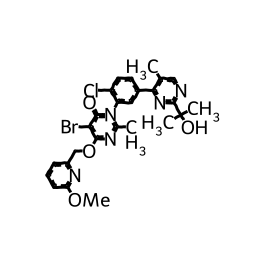 COc1cccc(COc2nc(C)n(-c3cc(-c4nc(C(C)(C)O)ncc4C)ccc3Cl)c(=O)c2Br)n1